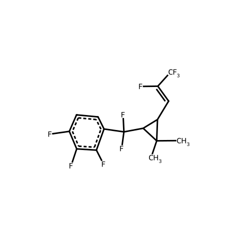 CC1(C)C(C=C(F)C(F)(F)F)C1C(F)(F)c1ccc(F)c(F)c1F